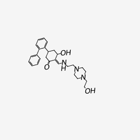 O=C1CC(c2ccccc2-c2ccccc2)CC(O)/C1=C\NCCN1CCN(CCO)CC1